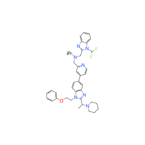 CC(C)N(Cc1cc(-c2ccc3c(c2)nc(C(C)N2CCCCC2)n3CCOc2ccccc2)ccn1)Cc1nc2ccccc2n1C(F)F